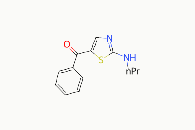 [CH2]CCNc1ncc(C(=O)c2ccccc2)s1